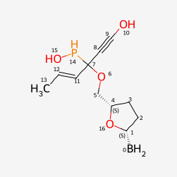 B[C@H]1CC[C@@H](COC(C#CO)(C=CC)PO)O1